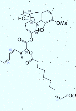 C=C(/C=C\C=C/C)[C@H](OC(=O)CCCCCCC/C=C\CCCCCCCC)C(=O)OC1=CC[C@@]2(O)[C@H]3Cc4ccc(OC)c5c4[C@@]2(CCC3C)[C@H]1O5